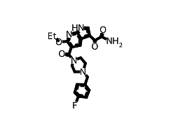 CCOc1nc2[nH]cc(C(=O)C(N)=O)c2cc1C(=O)N1CCN(Cc2ccc(F)cc2)CC1